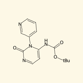 CC(C)(C)OC(=O)Nc1ccnc(=O)n1-c1cccnc1